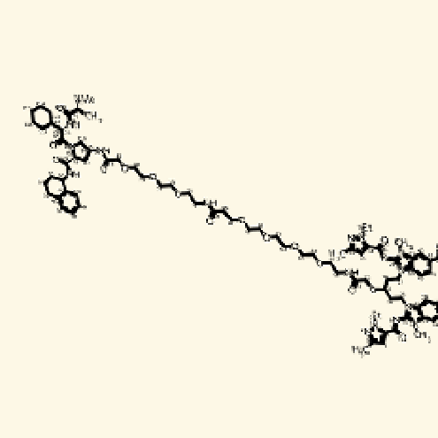 CCn1nc(C)cc1C(=O)N=c1n(C)c2cc(C(N)=O)ccc2n1CCC(CCn1c(=NC(=O)c2cc(C)nn2CC)n(C)c2cc(C(N)=O)ccc21)OCC(=O)NCCOCCOCCOCCOCCC(=O)NCCOCCOCCOCC(=O)N[C@H]1C[C@@H](C(=O)NC2CCCc3ccccc32)N(C(=O)[C@@H](NC(=O)[C@H](C)NC)C2CCCCC2)C1